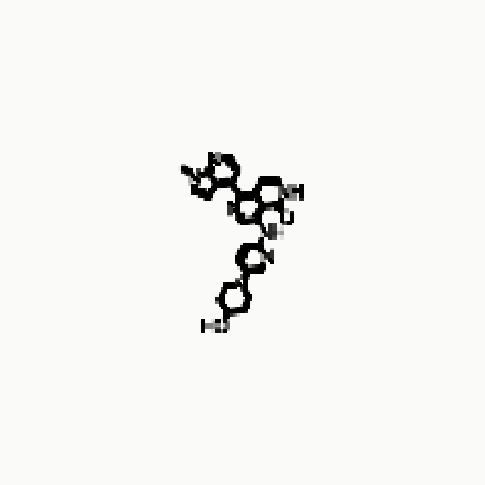 Cn1ccc2c(-c3ncc(Nc4ccc(N5CCC(O)CC5)cn4)c4c(=O)[nH]ccc34)ccnc21